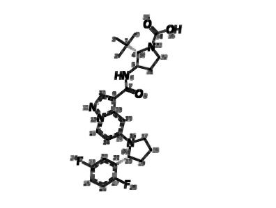 CC(C)(C)[C@H]1C(NC(=O)c2cnn3ccc(N4CCC[C@@H]4c4cc(F)ccc4F)cc23)CCN1C(=O)O